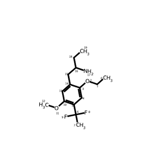 CCOc1cc(C(C)(F)F)c(OC)cc1CC(N)CC